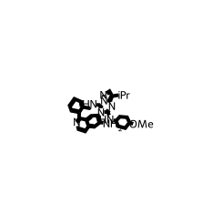 COC1CCC(Nc2nc(NCc3ccccc3-c3nccc4cc(N)ccc34)n3ncc(C(C)C)c3n2)CC1